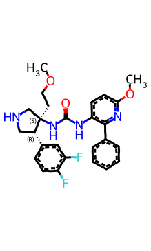 COCC[C@@]1(NC(=O)Nc2ccc(OC)nc2-c2ccccc2)CNC[C@H]1c1ccc(F)c(F)c1